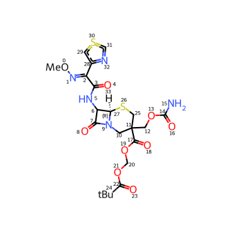 CON=C(C(=O)NC1C(=O)N2CC(COC(N)=O)(C(=O)OCOC(=O)C(C)(C)C)CS[C@H]12)c1cscn1